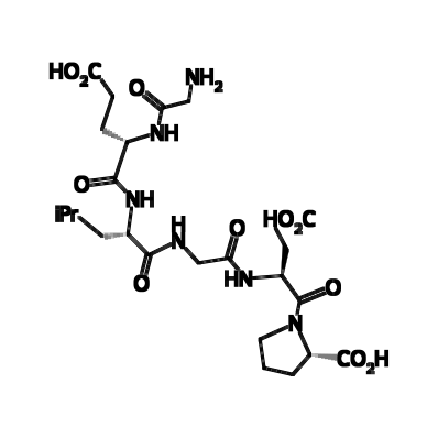 CC(C)C[C@H](NC(=O)[C@H](CCC(=O)O)NC(=O)CN)C(=O)NCC(=O)N[C@@H](CC(=O)O)C(=O)N1CCC[C@H]1C(=O)O